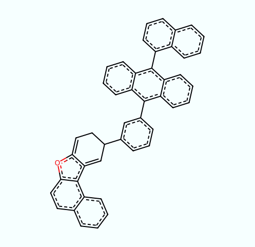 C1=c2oc3ccc4ccccc4c3c2=CC(c2cccc(-c3c4ccccc4c(-c4cccc5ccccc45)c4ccccc34)c2)C1